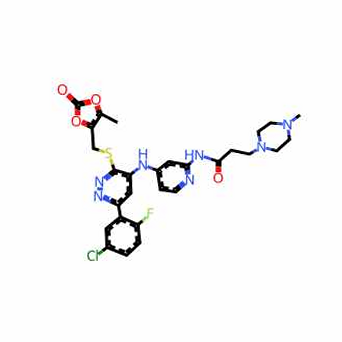 Cc1oc(=O)oc1CSc1nnc(-c2cc(Cl)ccc2F)cc1Nc1ccnc(NC(=O)CCN2CCN(C)CC2)c1